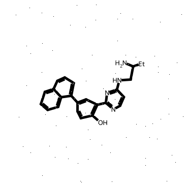 CCC(N)CNc1ccnc(-c2cc(-c3cccc4ccccc34)ccc2O)n1